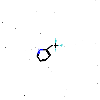 FC(F)(F)Cc1cc[c]cn1